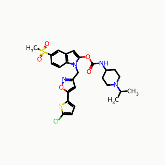 CC(C)N1CCC(NC(=O)Oc2cc3cc(S(C)(=O)=O)ccc3n2Cc2cc(-c3ccc(Cl)s3)on2)CC1